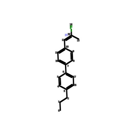 CCCc1ccc(-c2ccc(/C=C(\C)F)cc2)cc1